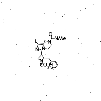 CNC(=O)N1CCn2c(C3CN(C(=O)O)C3Cc3ccccc3)nc(I)c2C1